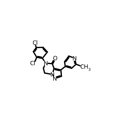 Cc1cc(-c2cnn3c2C(=O)N(c2ccc(Cl)cc2Cl)CC3)ccn1